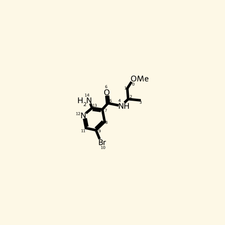 COCC(C)NC(=O)c1cc(Br)cnc1N